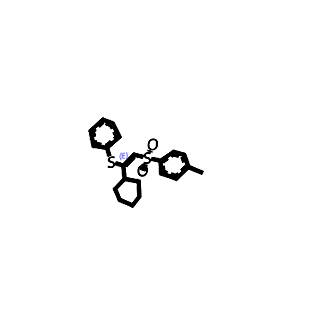 Cc1ccc(S(=O)(=O)/C=C(/Sc2ccccc2)C2CCCCC2)cc1